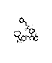 C[N+]1(CC2CCCCCCC2)CCC(NC(=O)C2c3ccccc3Oc3ccc(C(=O)NCCc4ccccc4)cc32)CC1.[I-]